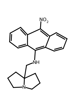 O=[N+]([O-])c1c2ccccc2c(NCC23CCCN2CCC3)c2ccccc12